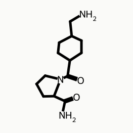 NCC1CCC(C(=O)N2CCCC2C(N)=O)CC1